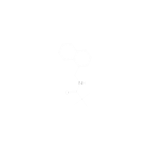 CC(C)(C)C(=O)NCc1cccc2ccccc12